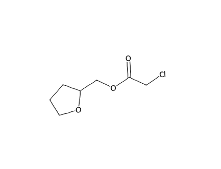 O=C(CCl)OCC1CCCO1